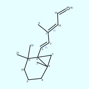 CC(/C=C/C12CC1(C)CCCC2(C)C)=C\C=O